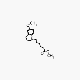 COC(=O)CCCCCN1CCCc2cc(OC)ccc21